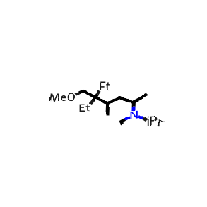 CCC(CC)(COC)C(C)CC(C)N(C)C(C)C